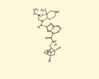 COCCN(C(=O)c1cn2c(C(=O)NC[C@@H]3CC[C@H]4C[C@@H]3C4(C)C)cccc2n1)C1CCNCC1(C)C